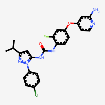 CC(C)c1cc(NC(=O)Nc2ccc(Oc3ccnc(N)c3)cc2F)n(-c2ccc(Cl)cc2)n1